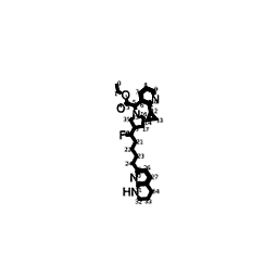 CCOC(=O)C(c1cccnc1C1CC1)N1CCC(C(F)CCCCc2ccc3c(n2)NCCC3)C1